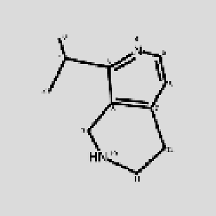 CC(C)c1nccc2c1CNCC2